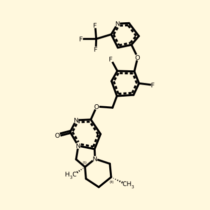 C[C@@H]1CC[C@@]2(C)Cn3c(cc(OCc4cc(F)c(Oc5ccnc(C(F)(F)F)c5)c(F)c4)nc3=O)N2C1